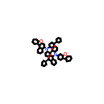 c1ccc(-c2ccc(N(c3ccccc3-c3ccccc3N(c3ccc4c(c3)oc3ccccc34)c3ccc(-c4ccccc4)c4ccccc34)c3cc4oc5ccccc5c4c4ccccc34)cc2)cc1